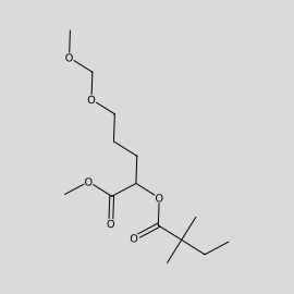 CCC(C)(C)C(=O)OC(CCCOCOC)C(=O)OC